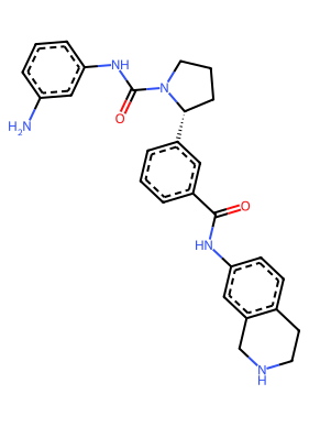 Nc1cccc(NC(=O)N2CCC[C@@H]2c2cccc(C(=O)Nc3ccc4c(c3)CNCC4)c2)c1